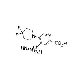 N=[N+]=N.O=C(O)c1cc(Cl)c(N2CCC(F)(F)CC2)cn1